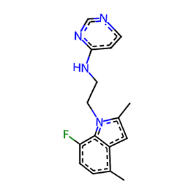 Cc1ccc(F)c2c1cc(C)n2CCNc1ccncn1